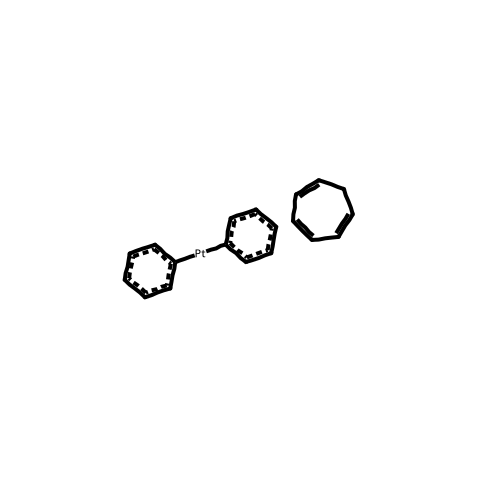 C1=CC=CCC=C1.c1cc[c]([Pt][c]2ccccc2)cc1